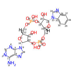 Nc1ncnc2c1ncn2[C@@H]1O[C@@H]2COP(=O)(O)OC3C(O)[C@H](n4cnc5ccccc54)O[C@@H]3COP(=O)(O)OC1C2O